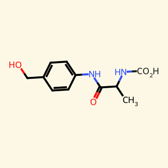 CC(NC(=O)O)C(=O)Nc1ccc(CO)cc1